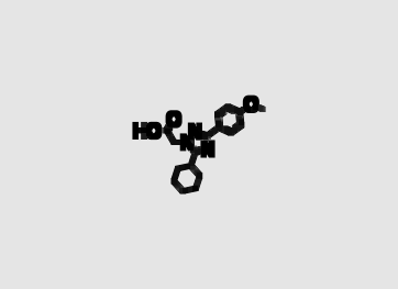 COc1ccc(-c2nc(C3CCCCC3)n(CC(=O)O)n2)cc1